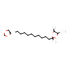 C1COCO1.CCCCCCCCCCCC1(C)OC(C)C(C)O1